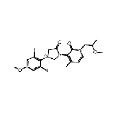 COc1cc(I)c([C@H]2CC(=O)N(c3c(C)ccn(CC(C)OC)c3=O)C2)c(I)c1